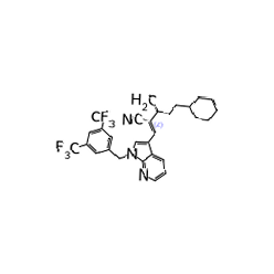 C=C(CCC1CCCCC1)/C(C#N)=C/c1cn(Cc2cc(C(F)(F)F)cc(C(F)(F)F)c2)c2ncccc12